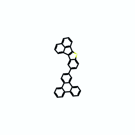 c1cc2c3c(cccc3c1)-c1c-2sc2ccc(-c3ccc4c5ccccc5c5ccccc5c4c3)cc12